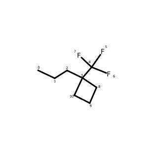 CCCC1(C(F)(F)F)CCC1